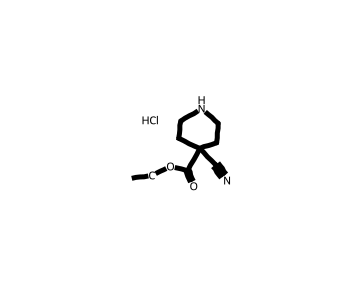 CCOC(=O)C1(C#N)CCNCC1.Cl